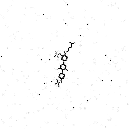 CC(C)=CCCOc1ccc(-c2cc(C)c(-c3ccc(OS(C)(=O)=O)cc3)c(C)c2)cc1OS(C)(=O)=O